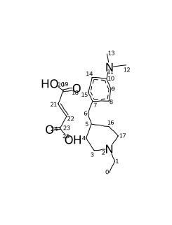 CCN1CCC(Cc2ccc(N(C)C)cc2)CC1.O=C(O)C=CC(=O)O